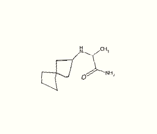 CC(NC1CC2(CCC2)C1)C(N)=O